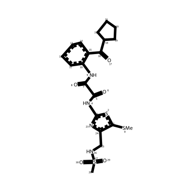 CSc1sc(NC(=O)C(=O)Nc2ccccc2C(=O)C2CCCC2)nc1CNS(C)(=O)=O